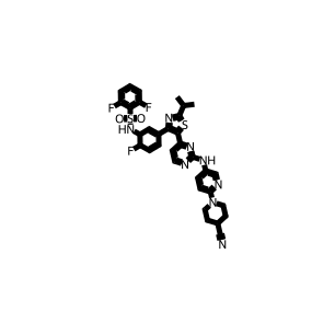 CC(C)c1nc(C2=CC(NS(=O)(=O)c3c(F)cccc3F)C(F)C=C2)c(-c2ccnc(Nc3ccc(N4CCC(C#N)CC4)nc3)n2)s1